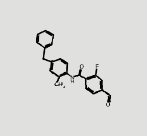 Cc1cc(Cc2ccccc2)ccc1NC(=O)c1ccc(C=O)cc1F